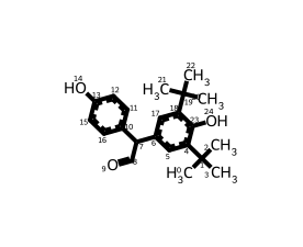 CC(C)(C)c1cc(C(C=O)c2ccc(O)cc2)cc(C(C)(C)C)c1O